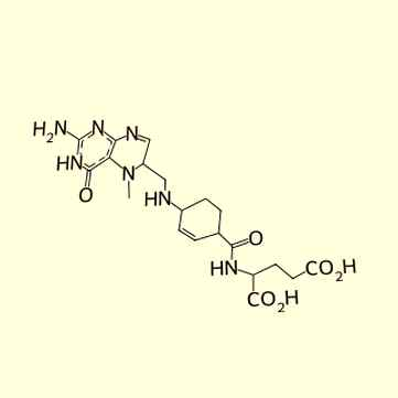 CN1c2c(nc(N)[nH]c2=O)N=CC1CNC1C=CC(C(=O)NC(CCC(=O)O)C(=O)O)CC1